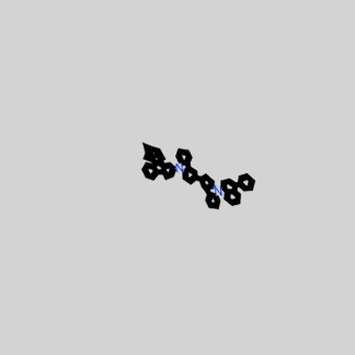 c1ccc(-c2ccc(-n3c4ccccc4c4cc(-c5ccc6c(c5)c5ccccc5n6-c5ccc6c(c5)C5(c7ccccc7-6)C6CC7CC78CC5C8C6)ccc43)c3ccccc23)cc1